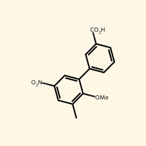 COc1c(C)cc([N+](=O)[O-])cc1-c1cccc(C(=O)O)c1